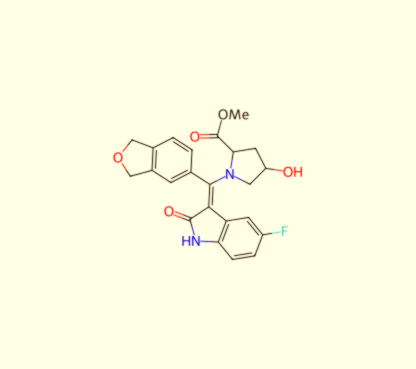 COC(=O)C1CC(O)CN1C(=C1C(=O)Nc2ccc(F)cc21)c1ccc2c(c1)COC2